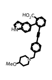 COC1CCN(Cc2ccc(C#Cc3cccc(C(=O)O)c3-c3ccc4[nH]ccc4c3)cc2)CC1